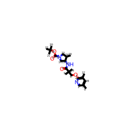 Cc1cnc(OCC(C)(C)C(=O)NC2CN(C(=O)OC(C)(C)C)CC2C)c(C)c1